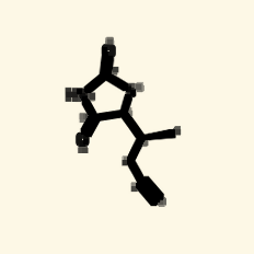 C#CC[C@H](C)C1SC(=O)NC1=O